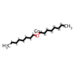 CCCCCCCCOCCCCCCCC.[Co]